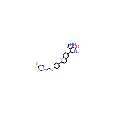 Cn1cc(-c2ccc3nc(-c4ccc(OCCN5CCC(F)(F)CC5)cc4)ccc3c2)c2cc[nH]c2c1=O